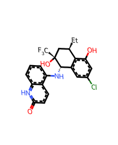 CC[C@@H]1C[C@](O)(C(F)(F)F)[C@@H](Nc2cccc3[nH]c(=O)ccc23)c2cc(Cl)cc(O)c21